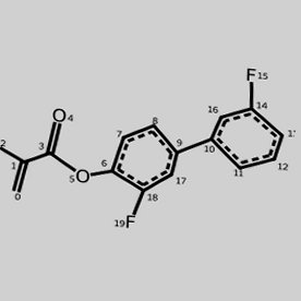 C=C(C)C(=O)Oc1ccc(-c2cccc(F)c2)cc1F